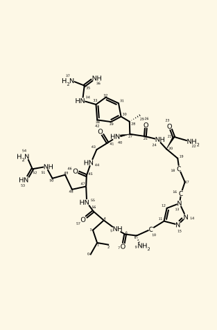 CC(C)CC1NC(=O)[C@@H](N)Cc2cn(nn2)CCCC[C@H](C(N)=O)NC(=O)[C@H]([C@@H](C)c2ccc(NC(=N)N)cc2)NC(=O)CNC(=O)C(CCCNC(=N)N)NC1=O